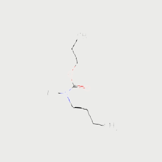 [CH2]CCCN(C)C(=O)OCCC